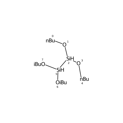 CCCCO[SiH](OCCCC)[SiH](OCC(C)C)OCC(C)C